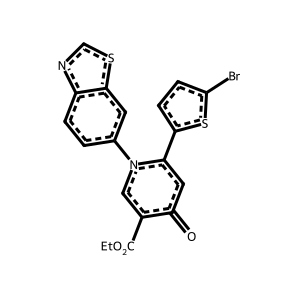 CCOC(=O)c1cn(-c2ccc3ncsc3c2)c(-c2ccc(Br)s2)cc1=O